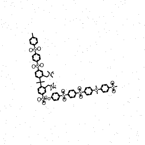 Cc1ccc(S(=O)(=O)c2ccc(S(=O)(=O)c3ccc(C(C)(C)c4ccc([S](=O)(=O)[Co][c]5ccc(S(=O)(=O)c6ccc(S(=O)(=O)c7ccc(S(C)(C)c8ccc(S(C)(=O)=O)cc8)cc7)cc6)cc5)cc4C[N+](C)(C)C)c(C[N+](C)(C)C)c3)cc2)cc1